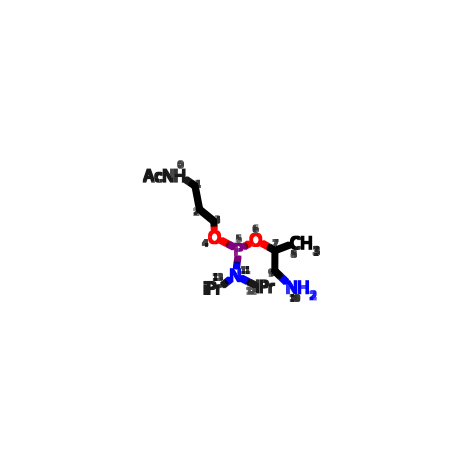 CC(=O)NCCCOP(OC(C)CN)N(C(C)C)C(C)C